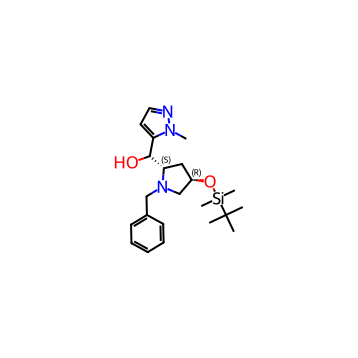 Cn1nccc1C(O)[C@@H]1C[C@@H](O[Si](C)(C)C(C)(C)C)CN1Cc1ccccc1